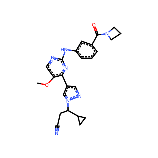 COc1cnc(Nc2cccc(C(=O)N3CCC3)c2)nc1-c1cnn(C(CC#N)C2CC2)c1